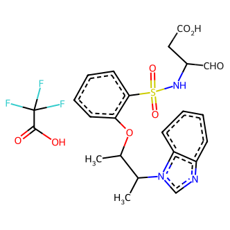 CC(Oc1ccccc1S(=O)(=O)NC(C=O)CC(=O)O)C(C)n1cnc2ccccc21.O=C(O)C(F)(F)F